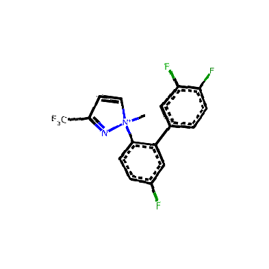 C[N+]1(c2ccc(F)cc2-c2ccc(F)c(F)c2)C=[C]C(C(F)(F)F)=N1